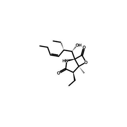 CC/C=C\[C@H](CC)[C@H](O)[C@@]12NC(=O)[C@H](CC)[C@]1(C)OC2=O